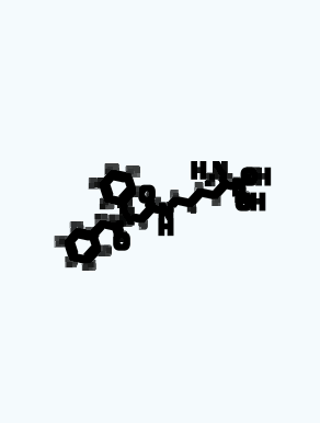 NC(CCCCNC(=O)CN(C(=O)Cc1ccccc1)c1ccccc1)B(O)O